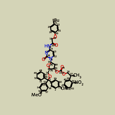 COc1ccc(C(OC[C@H]2O[C@@H](n3ccc(NC(=O)COc4ccc(C(C)(C)C)cc4)nc3=O)C[C@@H]2OC(=O)OCC(C)c2ccccc2[N+](=O)[O-])(c2ccccc2)c2ccc(OC)cc2)cc1